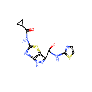 O=C(Nc1nccs1)c1n[nH]c2nc(NC(=O)C3CC3)sc12